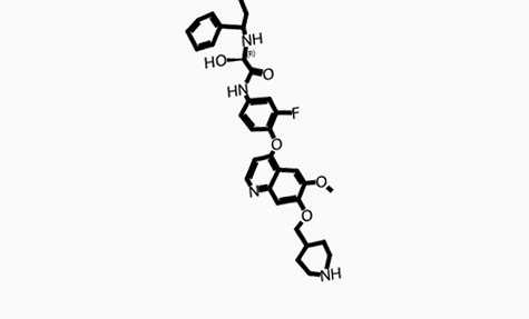 CCC(N[C@H](O)C(=O)Nc1ccc(Oc2ccnc3cc(OCC4CCNCC4)c(OC)cc23)c(F)c1)c1ccccc1